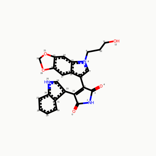 O=C1NC(=O)C(c2cn(CCCO)c3cc4c(cc23)OCO4)=C1c1c[nH]c2ccccc12